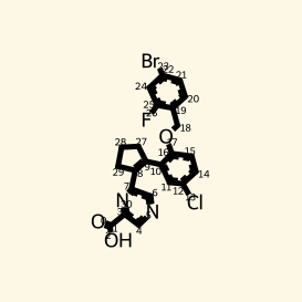 O=C(O)c1cncc(C2=C(c3cc(Cl)ccc3OCc3ccc(Br)cc3F)CCC2)n1